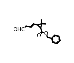 CC1(C)C(C=CCC=O)C1C(=O)OCc1ccccc1